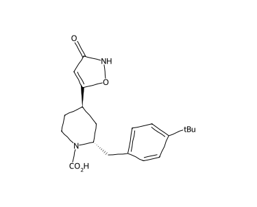 CC(C)(C)c1ccc(C[C@H]2C[C@H](c3cc(=O)[nH]o3)CCN2C(=O)O)cc1